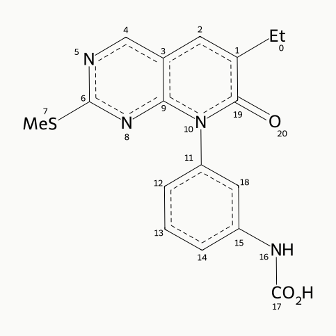 CCc1cc2cnc(SC)nc2n(-c2cccc(NC(=O)O)c2)c1=O